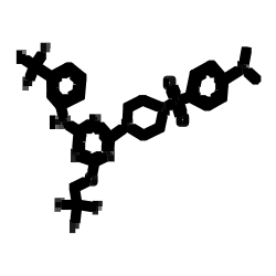 CN(C)c1ccc(S(=O)(=O)N2CCN(c3nc(Nc4cccc(C(F)(F)F)c4)nc(OCC(F)(F)F)n3)CC2)cc1